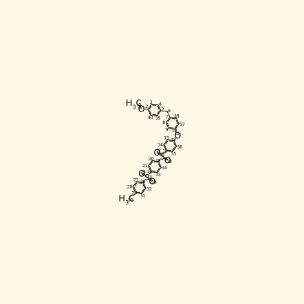 COc1ccc(Cc2ccc(Oc3ccc(S(=O)(=O)c4ccc(S(=O)(=O)c5ccc(C)cc5)cc4)cc3)cc2)cc1